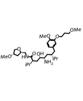 COCCCOc1cc(C[C@@H](C[C@H](N)[C@@H](O)C[C@H](C(=O)NC[C@H]2C[C@H](OC)CO2)C(C)C)C(C)C)ccc1OC